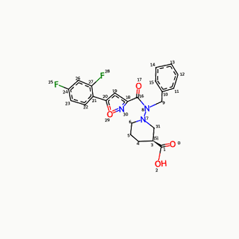 O=C(O)[C@H]1CCCN(N(Cc2ccccc2)C(=O)c2cc(-c3ccc(F)cc3F)on2)C1